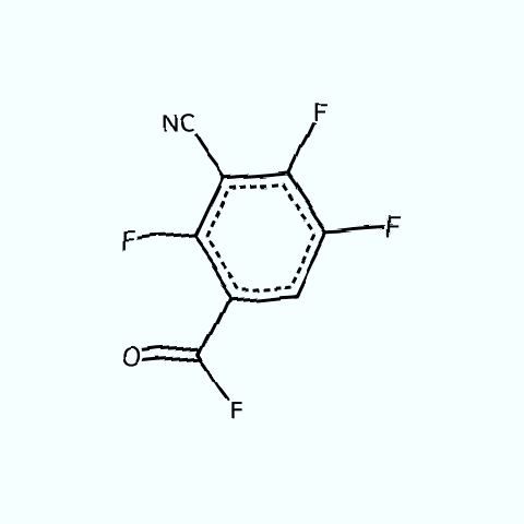 N#Cc1c(F)c(F)cc(C(=O)F)c1F